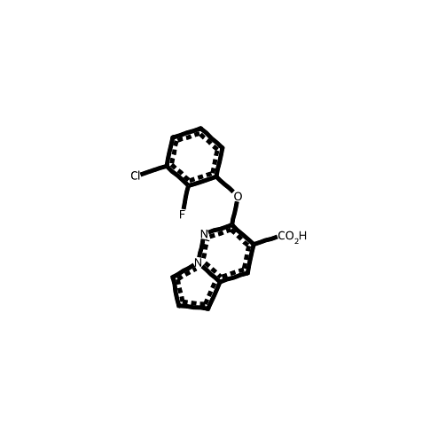 O=C(O)c1cc2cccn2nc1Oc1cccc(Cl)c1F